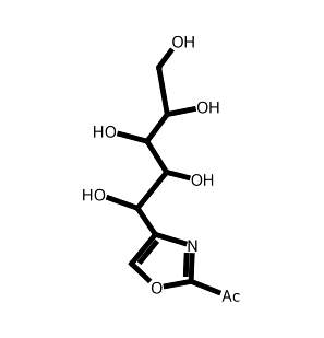 CC(=O)c1nc(C(O)C(O)C(O)C(O)CO)co1